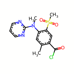 Cc1cc(N(C)c2ncccn2)c(S(C)(=O)=O)cc1C(=O)Cl